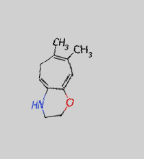 CC1=C(C)CC=C2NCCOC2=C1